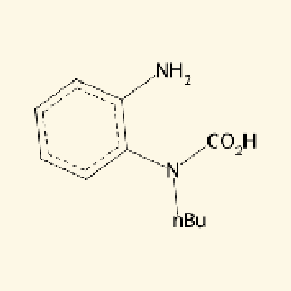 CCCCN(C(=O)O)c1ccccc1N